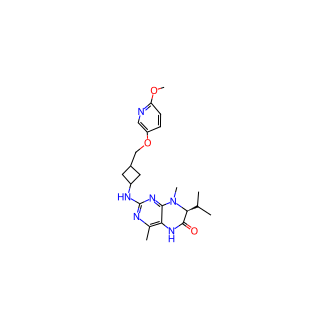 COc1ccc(OCC2CC(Nc3nc(C)c4c(n3)N(C)[C@@H](C(C)C)C(=O)N4)C2)cn1